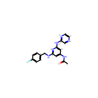 CC(=O)Nc1cc(NCc2ccc(F)cc2)nc(Nc2cnccn2)c1